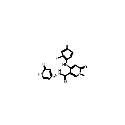 Cn1cc(C(=O)NN)c(Nc2ccc(I)cc2F)cc1=O.O=c1cccc[nH]1